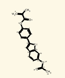 C=C(C)C(=O)Oc1ccc(-c2cc3ccc(OC(C)=O)cc3s2)cc1